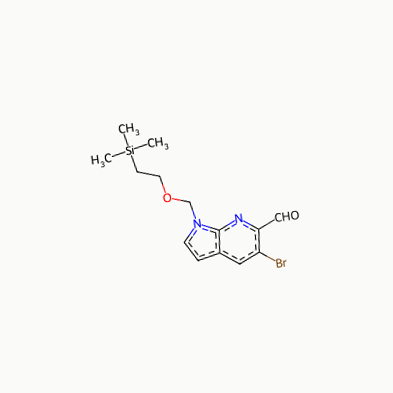 C[Si](C)(C)CCOCn1ccc2cc(Br)c(C=O)nc21